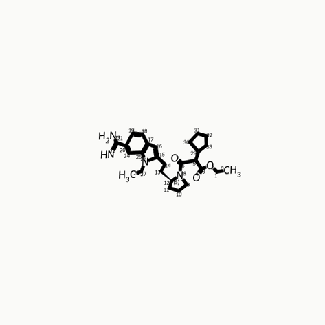 CCOC(=O)C(C(=O)N1CCC[C@H]1CCc1cc2ccc(C(=N)N)cc2n1CC)C1CCCC1